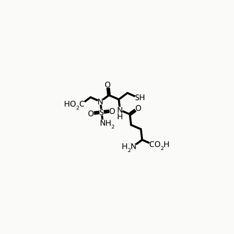 NC(CCC(=O)NC(CS)C(=O)N(CC(=O)O)S(N)(=O)=O)C(=O)O